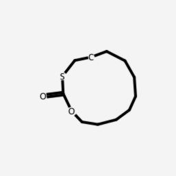 O=C1OCCCCCCCCCCS1